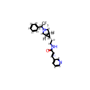 O=C(/C=C/c1cccnc1)NCC[C@@H]1[C@H]2CN(C(c3ccccc3)C(F)(F)F)C[C@@H]12